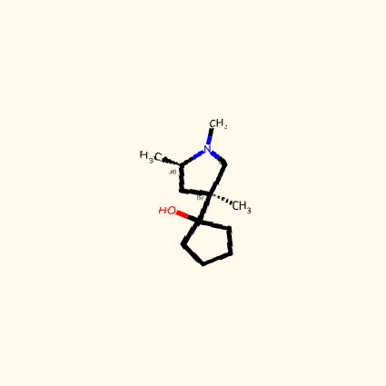 C[C@@H]1C[C@](C)(C2(O)CCCC2)CN1C